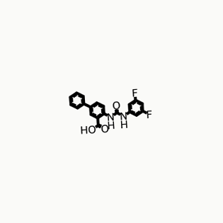 O=C(Nc1cc(F)cc(F)c1)Nc1ccc(-c2ccccc2)cc1C(=O)O